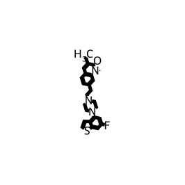 CCC1=Cc2ccc(CCN3CCN(c4cc(F)cc5sccc45)CC3)cc2[N]C1=O